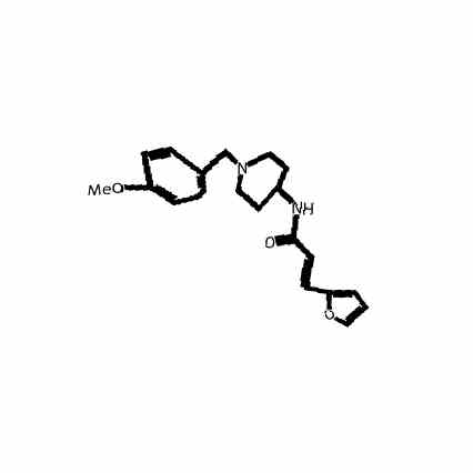 COc1ccc(CN2CCC(NC(=O)C=Cc3ccco3)CC2)cc1